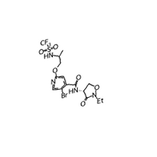 CCN1OC[C@@H](NC(=O)c2cc(OCC(C)NS(=O)(=O)C(F)(F)F)ncc2Br)C1=O